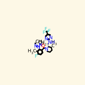 C=NN(/N=C\C)c1c(C(=O)N2CCC[C@@H](C)[C@H]2CNc2ncc(C(F)(F)F)cn2)ccc(F)c1C